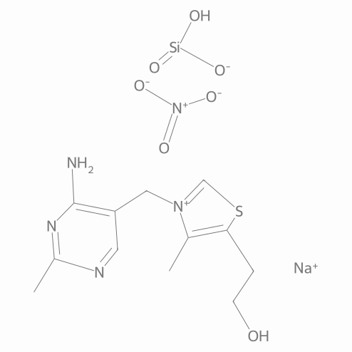 Cc1ncc(C[n+]2csc(CCO)c2C)c(N)n1.O=[N+]([O-])[O-].O=[Si]([O-])O.[Na+]